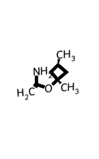 C=C(N)O[C@]1(C)C[C@@H](C)C1